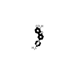 CN1CCN(c2ccc3oc4cc(C(=O)O)ccc4c3c2)CC1